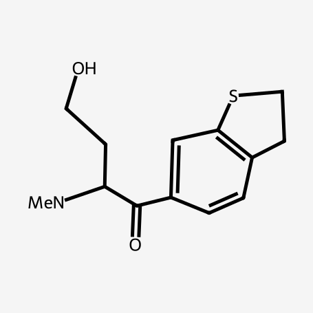 CNC(CCO)C(=O)c1ccc2c(c1)SCC2